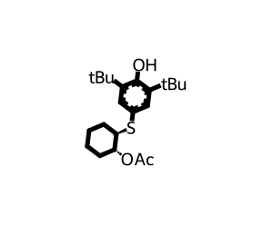 CC(=O)O[C@@H]1CCCC[C@H]1Sc1cc(C(C)(C)C)c(O)c(C(C)(C)C)c1